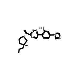 C=C(c1ncc(-c2ccc(-n3ccnc3)cc2O)nn1)[C@H]1CCC[C@@](C)(CCC)C1